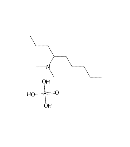 CCCCCC(CCC)N(C)C.O=P(O)(O)O